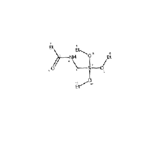 CCO[Si](CNC(=O)CC)(OCC)OCC